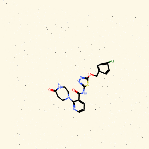 O=C1CCN(c2ncccc2C(=O)Nc2nnc(OCc3ccc(Cl)cc3)s2)CCN1